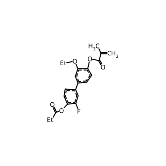 C=C(C)C(=O)Oc1ccc(-c2ccc(OC(=O)CC)c(F)c2)cc1OCC